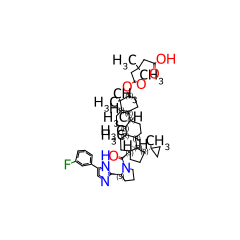 CC(C)(CC(=O)O)CC(=O)O[C@H]1CC[C@]2(C)[C@H]3CC[C@@H]4[C@H]5[C@H](C6(C)CC6)CC[C@]5(C(=O)N5CCC[C@H]5c5ncc(-c6cccc(F)c6)[nH]5)CC[C@@]4(C)[C@]3(C)CC[C@H]2C1(C)C